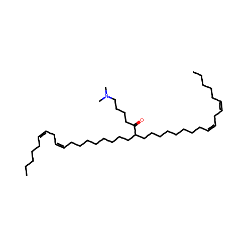 CCCCC/C=C\C/C=C\CCCCCCCCC(CCCCCCCC/C=C\C/C=C\CCCCC)C(=O)CCCCN(C)C